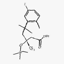 COC(=O)C[C@@](CC(C)(C)c1cc(F)ccc1C)(O[Si](C)(C)C)C(F)(F)F